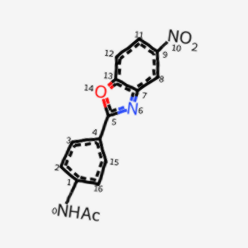 CC(=O)Nc1ccc(-c2nc3cc([N+](=O)[O-])ccc3o2)cc1